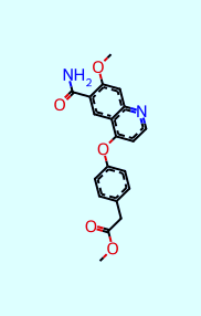 COC(=O)Cc1ccc(Oc2ccnc3cc(OC)c(C(N)=O)cc23)cc1